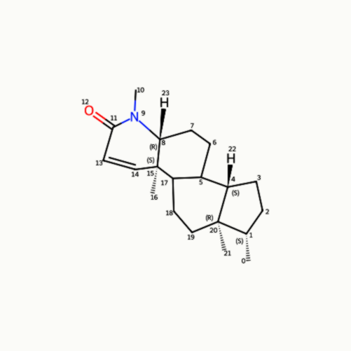 C[C@H]1CC[C@H]2C3CC[C@H]4N(C)C(=O)C=C[C@]4(C)C3CC[C@]12C